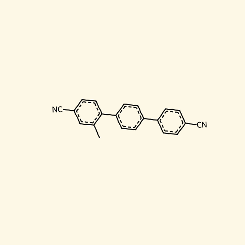 Cc1cc(C#N)ccc1-c1ccc(-c2ccc(C#N)cc2)cc1